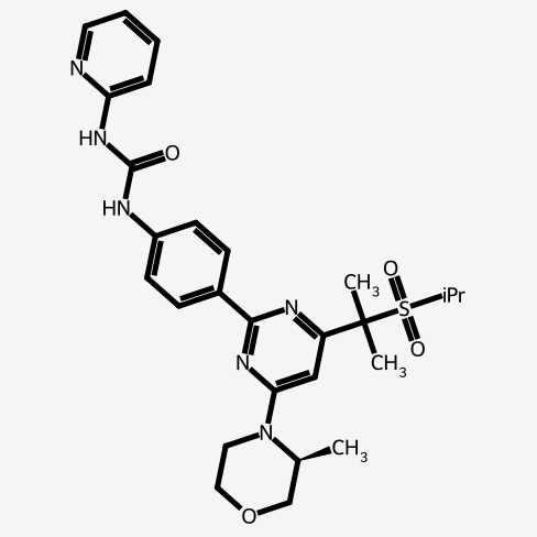 CC(C)S(=O)(=O)C(C)(C)c1cc(N2CCOC[C@@H]2C)nc(-c2ccc(NC(=O)Nc3ccccn3)cc2)n1